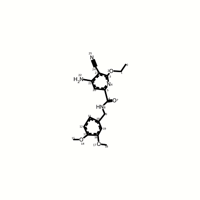 CCOc1nc(C(=O)NCc2ccc(OC)c(OC)c2)cc(N)c1C#N